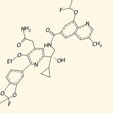 CCOc1c(CC(N)=O)cc([C@@](O)(CNC(=O)c2cc(OC(F)F)c3ncc(C)cc3c2)C2CC2)nc1-c1ccc2c(c1)OC(F)(F)O2